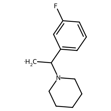 [CH2]C(c1cccc(F)c1)N1CCCCC1